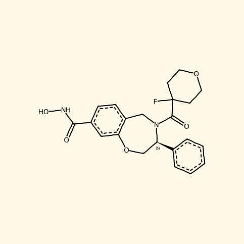 O=C(NO)c1ccc2c(c1)OC[C@H](c1ccccc1)N(C(=O)C1(F)CCOCC1)C2